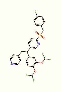 O=S(=O)(Cc1ccc(F)cc1)c1ccc(C(Cc2ccncc2)c2ccc(OC(F)F)c(OC(F)F)c2)cn1